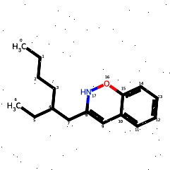 CCCCC(CC)CC1=Cc2ccccc2ON1